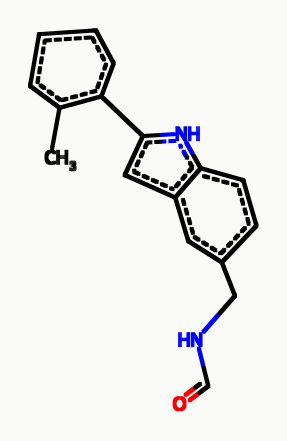 Cc1ccccc1-c1cc2cc(CNC=O)ccc2[nH]1